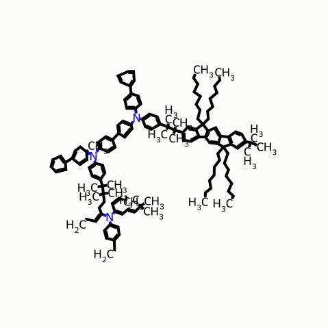 C=C/C=C(\CCC(C)(C)C(C)(C)c1ccc(N(c2ccc(-c3ccc(N(c4ccc(-c5ccccc5)cc4)c4ccc(C(C)(C)C(C)(C)c5ccc6c(c5)C(CCCCCCCC)(CCCCCCCC)c5cc7c(cc5-6)C(CCCCCCCC)(CCCCCCCC)c5cc(C(C)(C)C)ccc5-7)cc4)cc3)cc2)C2(C)C=CC(c3ccccc3)=CC2)cc1)N(C(/C=C\C)=C/C=CC(C)(C)C)c1ccc(C=C)cc1